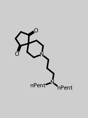 CCCCCN(CCCCC)CCCN1CCC2(CC1)C(=O)CCC2=O